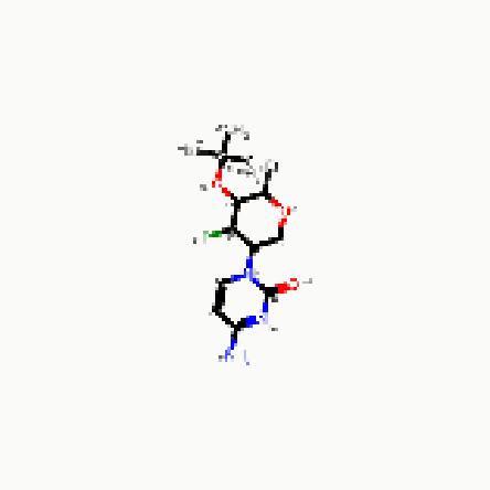 CCC1OCC(n2ccc(N)nc2=O)C(F)C1O[Si](C)(C)C(C)(C)C